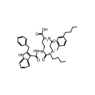 CCCCc1ccc(C[C@@H](CC(N)=O)N(CCCC)C(=O)[C@H](CCCC(=O)O)NC(=O)c2c(Cc3ccccc3)[nH]c3ccccc23)cc1